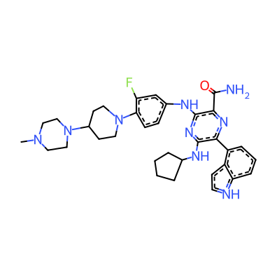 CN1CCN(C2CCN(c3ccc(Nc4nc(NC5CCCC5)c(-c5cccc6[nH]ccc56)nc4C(N)=O)cc3F)CC2)CC1